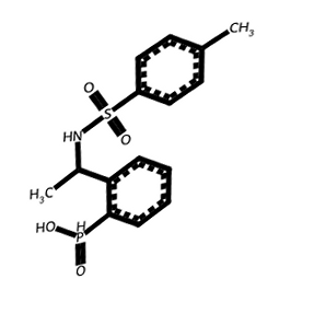 Cc1ccc(S(=O)(=O)NC(C)c2ccccc2[PH](=O)O)cc1